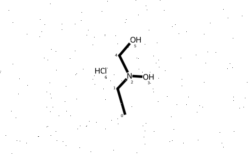 CCN(O)CO.Cl